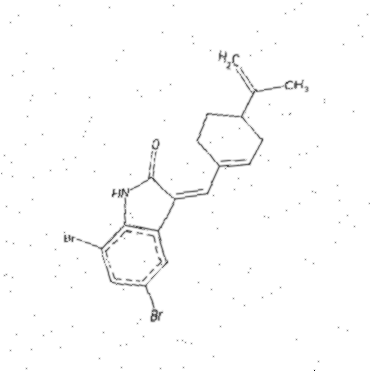 C=C(C)C1CC=C(C=C2C(=O)Nc3c(Br)cc(Br)cc32)CC1